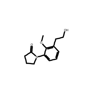 COc1c(CCO)cccc1N1CCCC1=O